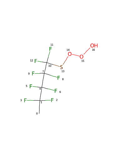 CC(F)(F)C(F)(F)C(F)(F)C(F)(F)SOOO